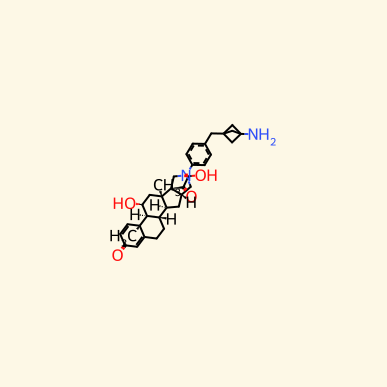 C[C@]12C=CC(=O)C=C1CC[C@@H]1[C@@H]2[C@@H](O)C[C@@]2(C)[C@H]1C[C@H]1CN(c3ccc(CC45CC(N)(C4)C5)cc3)C[C@]12C(=O)CO